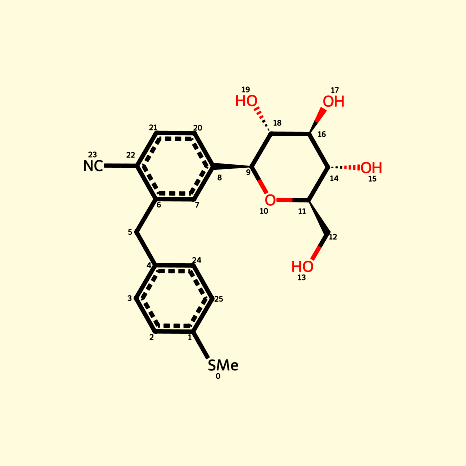 CSc1ccc(Cc2cc([C@@H]3O[C@H](CO)[C@@H](O)[C@H](O)[C@H]3O)ccc2C#N)cc1